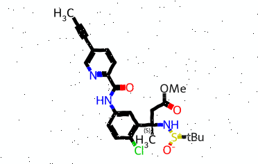 CC#Cc1ccc(C(=O)Nc2ccc(Cl)c([C@](C)(CC(=O)OC)N[S+]([O-])C(C)(C)C)c2)nc1